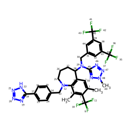 Cc1cc2c(c(C)c1C(F)(F)F)N(Cc1ccc(-c3nnn[nH]3)cc1)CCCC2N(Cc1cc(C(F)(F)F)cc(C(F)(F)F)c1)c1nnn(C)n1